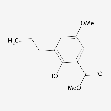 C=CCc1cc(OC)cc(C(=O)OC)c1O